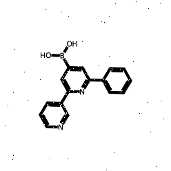 OB(O)c1cc(-c2ccccc2)nc(-c2cccnc2)c1